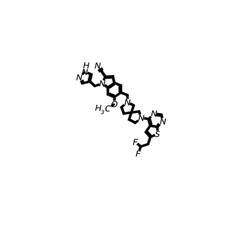 COc1cc2c(cc1CN1CCC3(CCN(c4ncnc5sc(CC(F)F)cc45)C3)C1)cc(C#N)n2Cc1cn[nH]c1